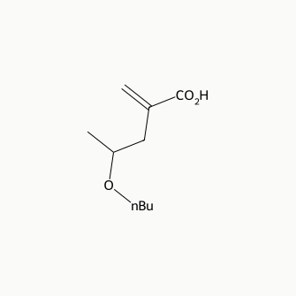 C=C(CC(C)OCCCC)C(=O)O